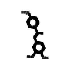 COc1cc(/C=C(\C)c2ccc(C(=O)O)cc2)ccc1OC(C)=O